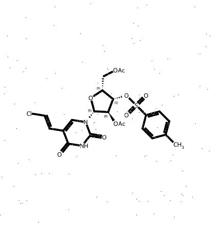 CC(=O)OC[C@H]1O[C@@H](n2cc(C=CCl)c(=O)[nH]c2=O)[C@H](OC(C)=O)[C@H]1OS(=O)(=O)c1ccc(C)cc1